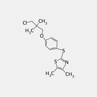 Cc1nc(Sc2ccc(OCC(C)(C)CCl)cc2)sc1C